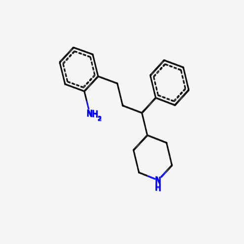 Nc1ccccc1CCC(c1ccccc1)C1CCNCC1